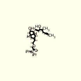 CC#CC[C@H](C)[C@H](O)C=C[C@@H]1[C@H]2CC(=CCOCC(=O)N(C(C)C)C(C)C)C[C@H]2C[C@H]1O